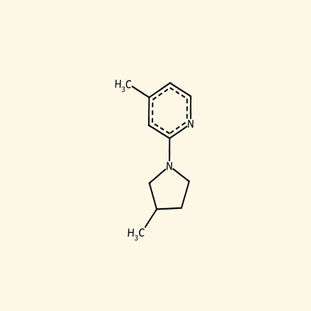 Cc1ccnc(N2CCC(C)C2)c1